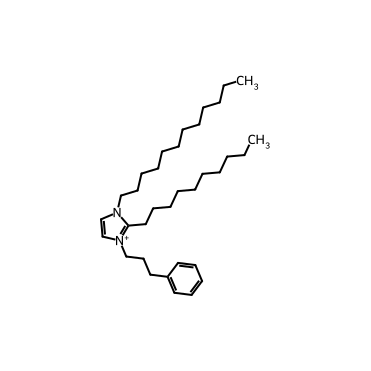 CCCCCCCCCCCCn1cc[n+](CCCc2ccccc2)c1CCCCCCCCCC